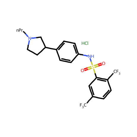 CCCN1CCC(c2ccc(NS(=O)(=O)c3cc(C(F)(F)F)ccc3C(F)(F)F)cc2)C1.Cl